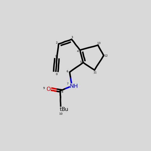 C#C/C=C\C1=C(CNC(=O)C(C)(C)C)CCC1